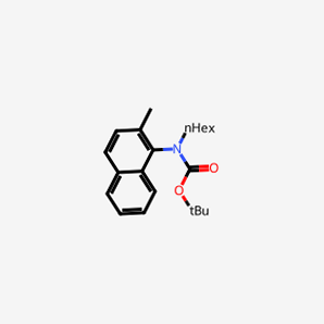 CCCCCCN(C(=O)OC(C)(C)C)c1c(C)ccc2ccccc12